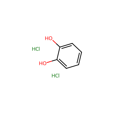 Cl.Cl.Oc1ccccc1O